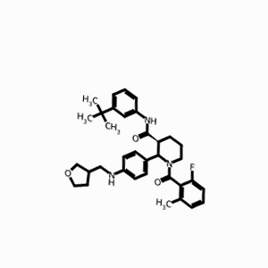 Cc1cccc(F)c1C(=O)N1CCC[C@H](C(=O)Nc2cccc(C(C)(C)C)c2)C1c1ccc(NCC2CCOC2)cc1